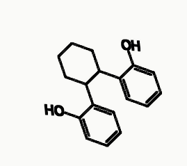 Oc1ccccc1C1CCCCC1c1ccccc1O